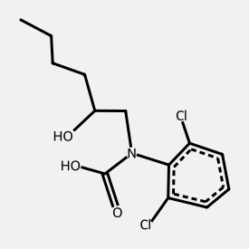 CCCCC(O)CN(C(=O)O)c1c(Cl)cccc1Cl